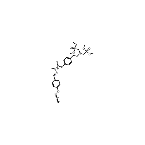 COP(=O)(CN(CCc1ccc(O[PH](=S)N(C)/N=C/c2ccc(ON=[N+]=[N-])cc2)cc1)CP(=O)(OC)OC)OC